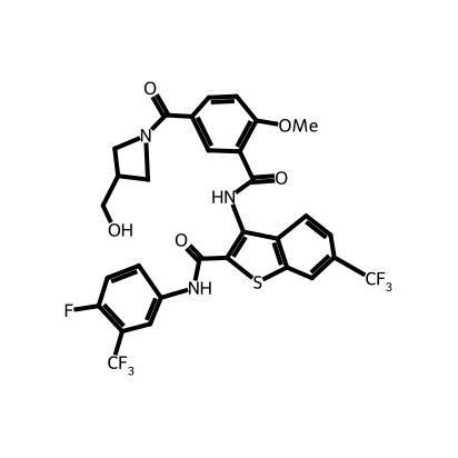 COc1ccc(C(=O)N2CC(CO)C2)cc1C(=O)Nc1c(C(=O)Nc2ccc(F)c(C(F)(F)F)c2)sc2cc(C(F)(F)F)ccc12